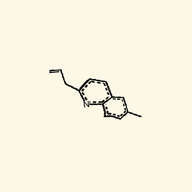 C=CCc1ccc2cc(C)ccc2n1